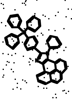 c1ccc(-n2c(-c3ccc([Si](c4ccccc4)(c4ccccc4)c4ccccc4)cc3)nc3c4cccc5ccc6cccc(c6c54)c32)cc1